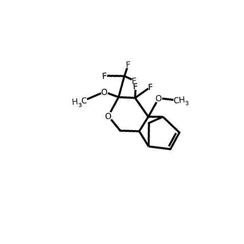 COC12C3C=CC(C3)C1COC(OC)(C(F)(F)F)C2(F)F